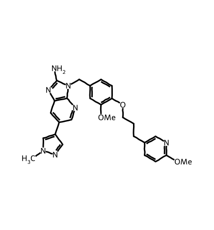 COc1ccc(CCCOc2ccc(Cn3c(N)nc4cc(-c5cnn(C)c5)cnc43)cc2OC)cn1